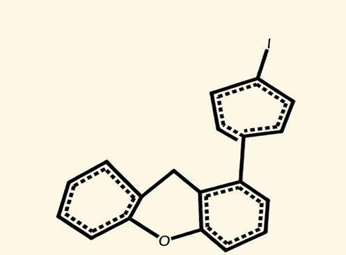 Ic1ccc(-c2cccc3c2Cc2ccccc2O3)cc1